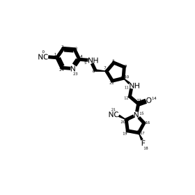 N#Cc1ccc(NC[C@H]2CC[C@@H](NCC(=O)N3C[C@@H](F)C[C@H]3C#N)C2)nc1